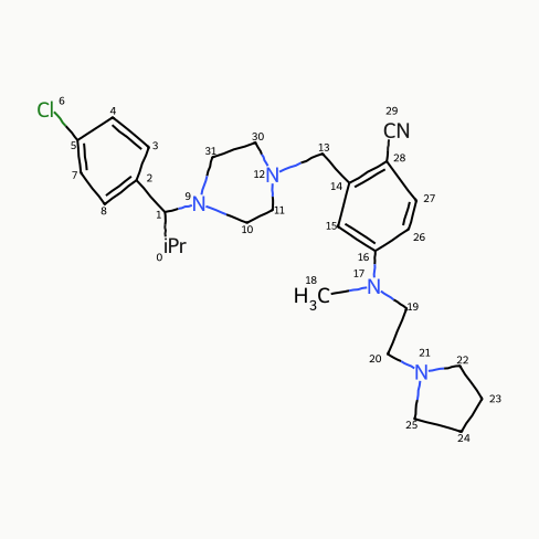 CC(C)C(c1ccc(Cl)cc1)N1CCN(Cc2cc(N(C)CCN3CCCC3)ccc2C#N)CC1